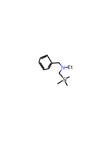 CCN(Cc1ccccc1)C[Si](C)(C)C